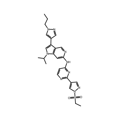 CCCn1cc(-c2cn(C(C)C)c3cc(Nc4ccnc(-c5cnn(S(=O)(=O)CC)c5)n4)ncc23)cn1